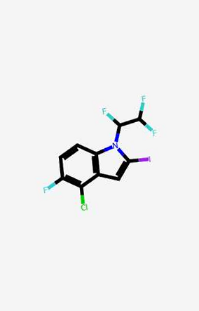 Fc1ccc2c(cc(I)n2C(F)C(F)F)c1Cl